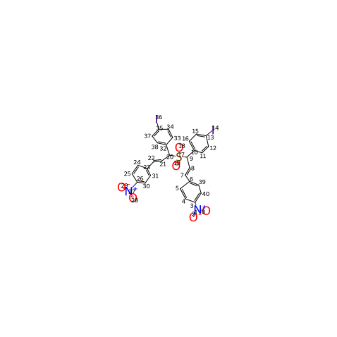 O=[N+]([O-])c1ccc(C=CC(c2ccc(I)cc2)S(=O)(=O)C(C=Cc2ccc([N+](=O)[O-])cc2)c2ccc(I)cc2)cc1